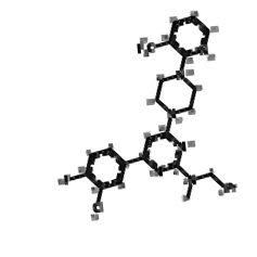 CC(C)CN(C)c1nc(-c2ccc(F)c(Cl)c2)cc(N2CCN(c3ncccc3C(F)(F)F)CC2)n1